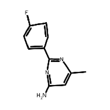 Cc1cc(N)nc(-c2ccc(F)cc2)n1